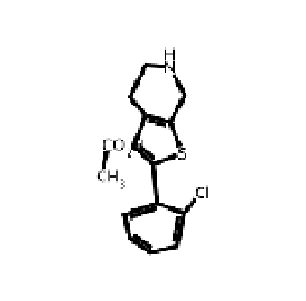 CC(=O)O.Clc1ccccc1-c1cc2c(s1)CNCC2